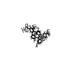 O=C(O)c1cc(F)c(-c2cccc(-c3c(-c4c(F)cccc4F)c4cc(F)ccc4n3S(=O)(=O)c3ccc(C(F)F)cc3)c2)c(F)c1